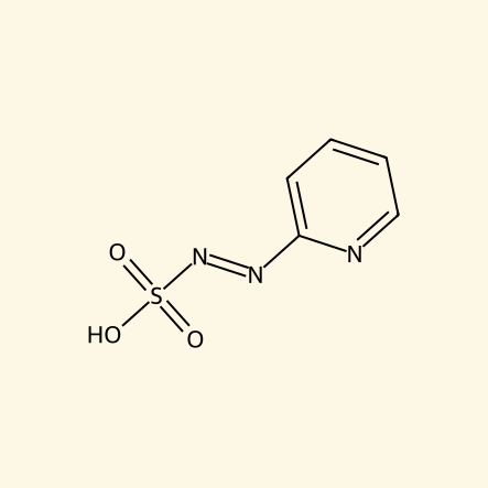 O=S(=O)(O)N=Nc1ccccn1